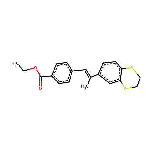 CCOC(=O)c1ccc(/C=C(\C)c2ccc3c(c2)SCCS3)cc1